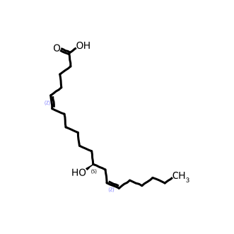 CCCCC/C=C\C[C@@H](O)CCCCC/C=C\CCCC(=O)O